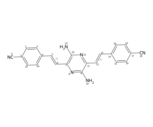 N#Cc1ccc(/C=C/c2nc(N)c(/C=C/c3ccc(C#N)cc3)nc2N)cc1